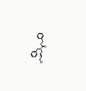 O=C(OCc1ccccc1)N(C/C=C/CBr)Cc1ccccc1